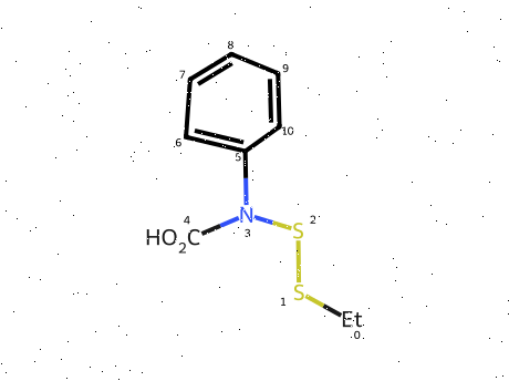 CCSSN(C(=O)O)c1ccccc1